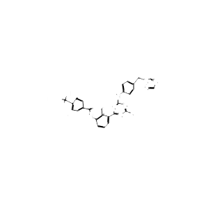 CC(C)(C)c1ccc(C(=O)Nc2cccc(-c3nc(N)nc(Nc4ccc(Cn5cncn5)cc4)n3)c2CO)cc1